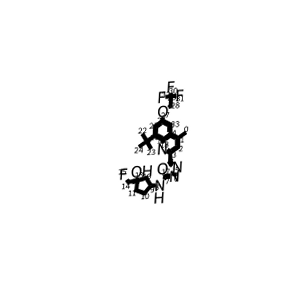 Cc1cc(-c2nnc(NC3CCC(O)(CF)C3)o2)nc2c(C(C)(C)C)cc(OCC(F)(F)F)cc12